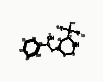 OC(CN1CCNC(C(F)(F)F)C1)c1cccnc1